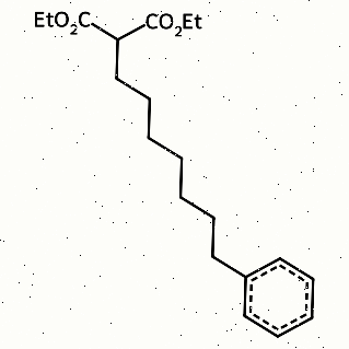 CCOC(=O)C(CCCCCCCc1ccccc1)C(=O)OCC